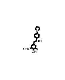 Cl.O=Cc1cc(C=Cc2ccc(N3CCCC3)cc2)cc(F)c1O